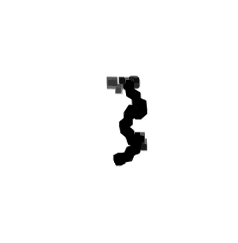 C#CCCCC1(CC/C=C\C/C=C\C/C=C\CCCC(N)=O)N=N1